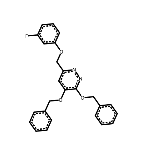 Fc1cccc(OCc2cc(OCc3ccccc3)c(OCc3ccccc3)nn2)c1